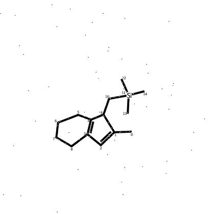 CC1=CC2=C(CCCC2)[C]1C[Si](C)(C)C